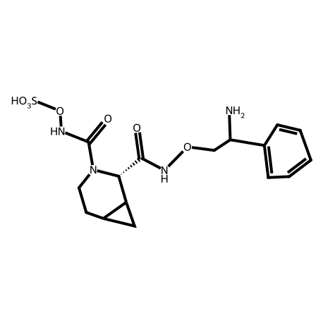 NC(CONC(=O)[C@@H]1C2CC2CCN1C(=O)NOS(=O)(=O)O)c1ccccc1